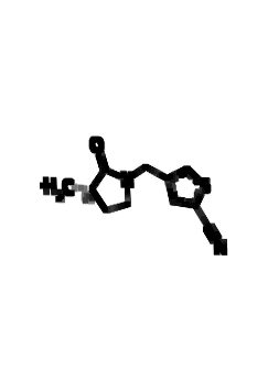 [CH2][C@H]1CCN(Cc2csc(C#N)c2)C1=O